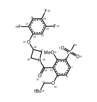 COc1c(S(C)(=O)=O)ccc(OCC(C)(C)C)c1C(=O)N1CC(Oc2cc(F)c(F)cc2F)C1